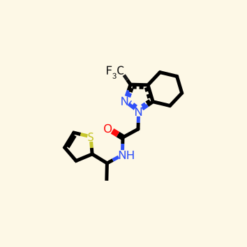 CC(NC(=O)Cn1nc(C(F)(F)F)c2c1CCCC2)C1CC=CS1